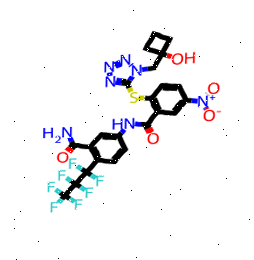 NC(=O)c1cc(NC(=O)c2cc([N+](=O)[O-])ccc2Sc2nnnn2CC2(O)CCC2)ccc1C(F)(F)C(F)(F)C(F)(F)F